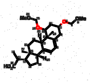 COCO[C@@H]1CC2=CC=C3[C@@H]4CC[C@H](C(C)C(=O)O)[C@@]4(C)CC[C@@H]3[C@@]2(C)[C@@H](OCOC)C1